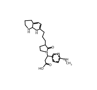 CNc1ccc(C(CC(=O)O)N2CCC(CCCC3=CC=C4CCCNC4N3)C2=O)cn1